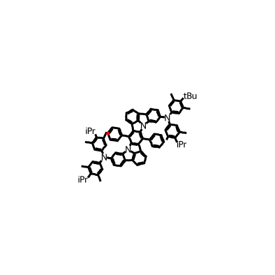 Cc1cc(N(c2cc(C)c(C(C)C)c(C)c2)c2ccc3c4cccc5c6c(-c7ccccc7)c7c(c(-c8ccccc8)c6n(c3c2)c45)c2cccc3c4ccc(N(c5cc(C)c(C(C)C)c(C)c5)c5cc(C)c(C(C)(C)C)c(C)c5)cc4n7c32)cc(C)c1C(C)C